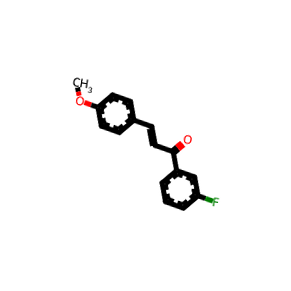 COc1ccc(C=CC(=O)c2cccc(F)c2)cc1